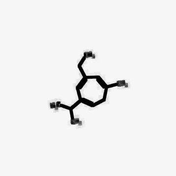 CCC1=CC(C(C)C)=CCC(C)=C1